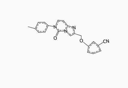 Cc1ccc(-n2ccc3nc(COc4cccc(C#N)c4)cn3c2=O)cc1